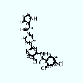 C[C@@H](Nc1nc(N2CCN(C(=O)CC3CCCN3)CC2)ncc1Cl)c1ccc(Cl)cc1Cl